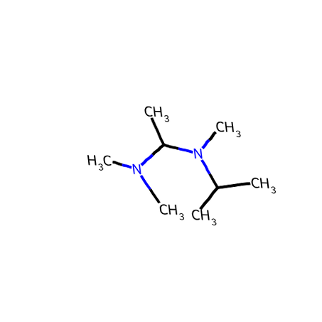 CC(C)N(C)C(C)N(C)C